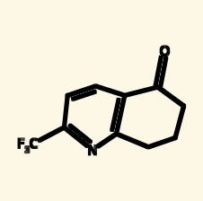 O=C1CCCc2nc(C(F)(F)F)ccc21